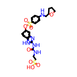 O=C(NCCS(=O)(=O)O)Nc1nc2cc(OS(=O)(=O)c3ccc(NCC4CCCO4)cc3)ccc2[nH]1